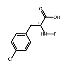 O=C(O)[C@H](Cc1ccc(Cl)cc1)NF